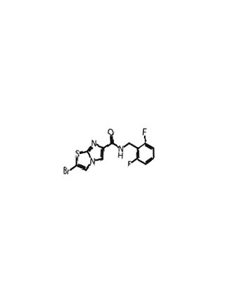 O=C(NCc1c(F)cccc1F)c1cn2cc(Br)sc2n1